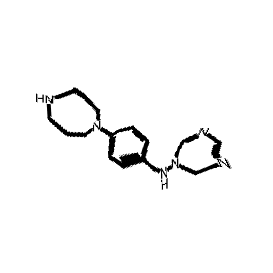 C1=NC=NCN1Nc1ccc(N2CCNCC2)cc1